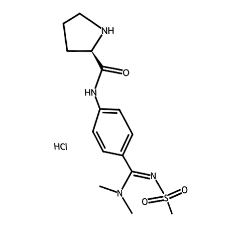 CN(C)C(=NS(C)(=O)=O)c1ccc(NC(=O)[C@H]2CCCN2)cc1.Cl